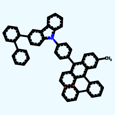 Cc1ccc2c(-c3ccc(-n4c5ccccc5c5cc(-c6ccccc6-c6ccccc6)ccc54)cc3)c3ccccc3c(-c3ccccc3-c3ccccc3)c2c1